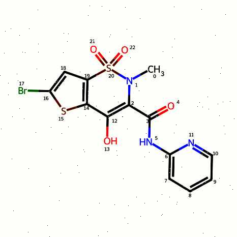 CN1C(C(=O)Nc2ccccn2)=C(O)c2sc(Br)cc2S1(=O)=O